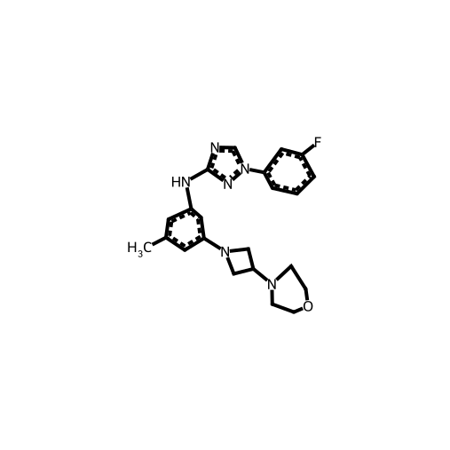 Cc1cc(Nc2ncn(-c3cccc(F)c3)n2)cc(N2CC(N3CCOCC3)C2)c1